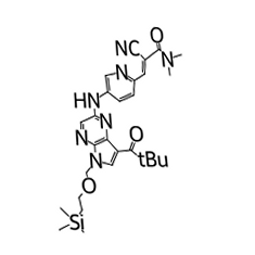 CN(C)C(=O)/C(C#N)=C/c1ccc(Nc2cnc3c(n2)c(C(=O)C(C)(C)C)cn3COCC[Si](C)(C)C)cn1